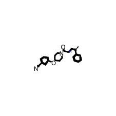 C[C@H](/C=C/C(=O)N1CCC(Oc2cccc(C#N)c2)CC1)c1ccccc1